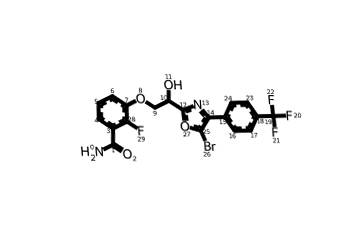 NC(=O)c1cccc(OCC(O)c2nc(-c3ccc(C(F)(F)F)cc3)c(Br)o2)c1F